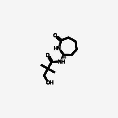 CC(C)(CO)C(=O)N[C@H]1CCCCC(=O)N1